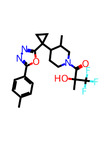 Cc1ccc(-c2nnc(C3(C4CCN(C(=O)C(C)(O)C(F)(F)F)CC4C)CC3)o2)cc1